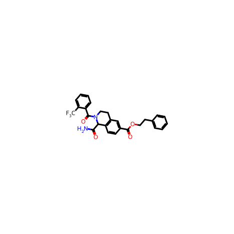 NC(=O)C1c2ccc(C(=O)OCCc3ccccc3)cc2CCN1C(=O)c1ccccc1C(F)(F)F